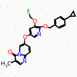 Cc1cnc2ccc(Oc3cnc(OCc4ccc(C5CC5)cc4)c(OCF)c3)cn2c1=O